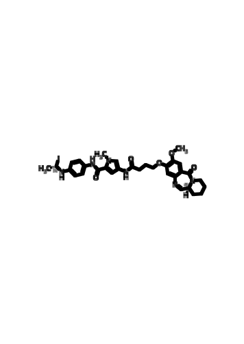 COc1cc2c(cc1OCCCC(=O)Nc1cc(C(=O)Nc3ccc(N[C@H](C)I)cc3)n(C)c1)N=C[C@@H]1CCCCN1C2=O